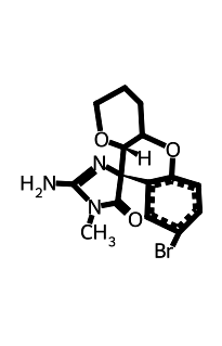 CN1C(=O)[C@@]2(N=C1N)c1cc(Br)ccc1OC1CCCO[C@H]12